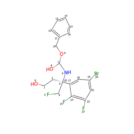 OCC[C@](CF)(NC(O)OCc1ccccc1)c1cc(Br)cc(F)c1F